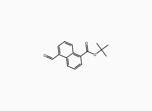 CC(C)(C)OC(=O)c1cccc2c(C=O)cccc12